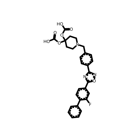 O=C(O)OC1(OC(=O)O)CCN(Cc2ccc(-c3noc(-c4ccc(-c5ccccc5)c(F)c4)n3)cc2)CC1